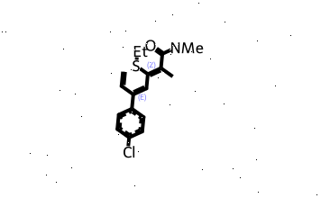 C=C/C(=C\C(SCC)=C(/C)C(=O)NC)c1ccc(Cl)cc1